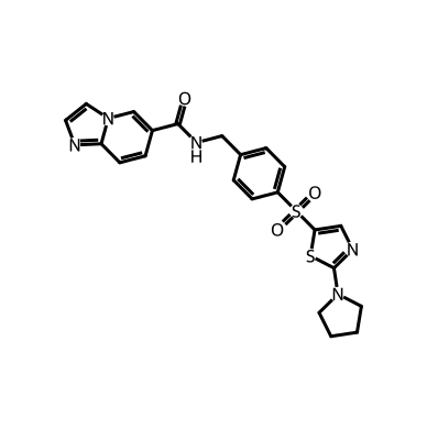 O=C(NCc1ccc(S(=O)(=O)c2cnc(N3CCCC3)s2)cc1)c1ccc2nccn2c1